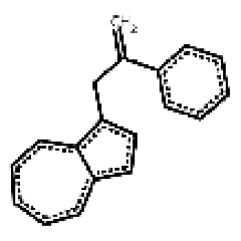 C=C(Cc1ccc2cccccc1-2)c1ccccc1